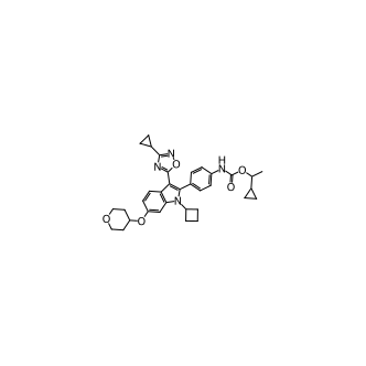 CC(OC(=O)Nc1ccc(-c2c(-c3nc(C4CC4)no3)c3ccc(OC4CCOCC4)cc3n2C2CCC2)cc1)C1CC1